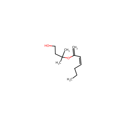 C=C(/C=C\CCC)OC(C)(C)CCO